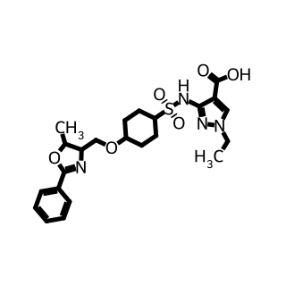 CCn1cc(C(=O)O)c(NS(=O)(=O)C2CCC(OCC3N=C(c4ccccc4)OC3C)CC2)n1